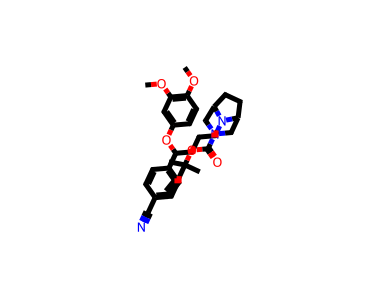 C#CC(C)(C)OC(=O)N1CC2CCC(C1)N2CCCC(Oc1ccc(OC)c(OC)c1)c1ccc(C#N)cc1